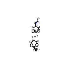 C/C=C/[C@H]1CO[C@H](CC[C@H]2CO[C@H](CCC)OC2)OC1